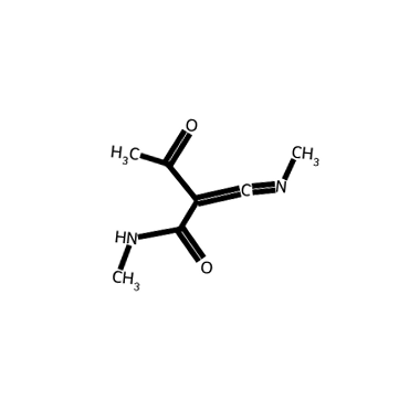 CN=C=C(C(C)=O)C(=O)NC